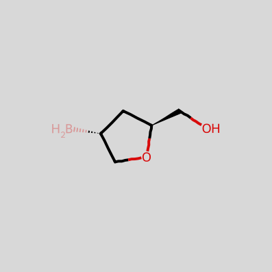 B[C@H]1CO[C@H](CO)C1